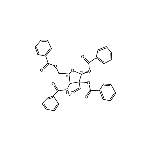 C=CC1(OC(=O)c2ccccc2)C(OC(=O)c2ccccc2)[C@@H](COC(=O)c2ccccc2)O[C@H]1OC(=O)c1ccccc1